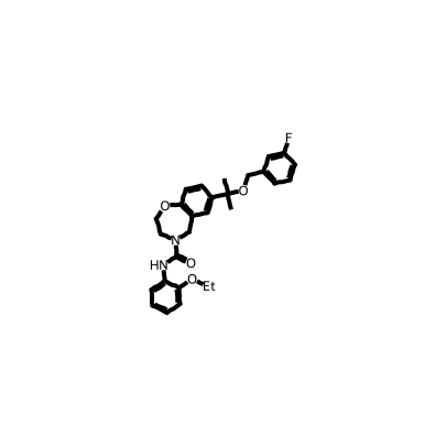 CCOc1ccccc1NC(=O)N1CCOc2ccc(C(C)(C)OCc3cccc(F)c3)cc2C1